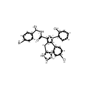 CCC(NC(=O)c1nn(-c2ccccc2Cl)c(-c2ccc(Cl)cc2)c1Cc1nnn[nH]1)c1ccc(Br)cc1